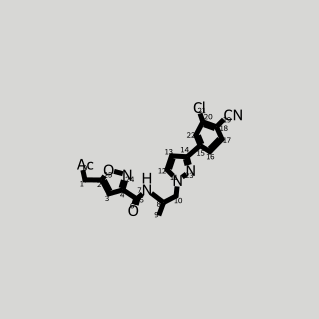 CC(=O)Cc1cc(C(=O)NC(C)Cn2ccc(-c3ccc(C#N)c(Cl)c3)n2)no1